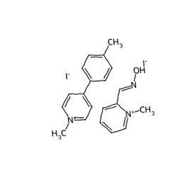 C[n+]1ccccc1C=NO.Cc1ccc(-c2cc[n+](C)cc2)cc1.[I-].[I-]